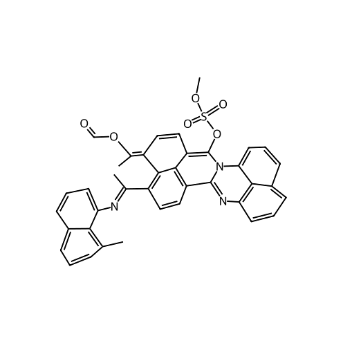 COS(=O)(=O)OC1=c2cc/c(=C(/C)OC=O)c3c(/C(C)=N/c4cccc5cccc(C)c45)ccc(c23)C2=Nc3cccc4cccc(c34)N21